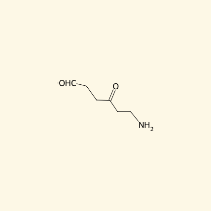 NCCC(=O)CC[C]=O